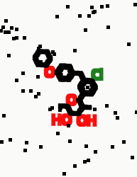 CC1OC(c2ccc(Cl)c(Cc3ccc(OC4CCCCC4)cc3)c2)C(C)C(O)C1O